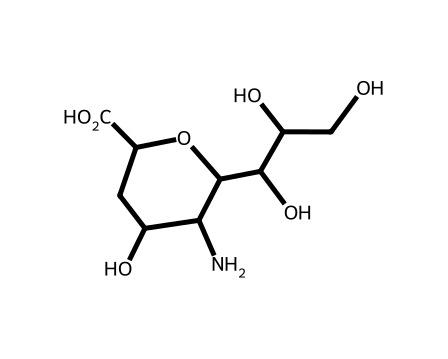 NC1C(O)CC(C(=O)O)OC1C(O)C(O)CO